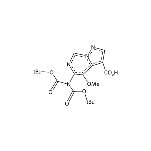 COc1c(N(C(=O)OC(C)(C)C)C(=O)OC(C)(C)C)ncn2ncc(C(=O)O)c12